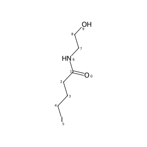 O=C(CCCI)NCCO